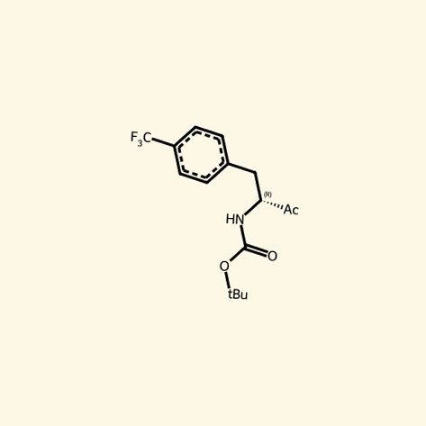 CC(=O)[C@@H](Cc1ccc(C(F)(F)F)cc1)NC(=O)OC(C)(C)C